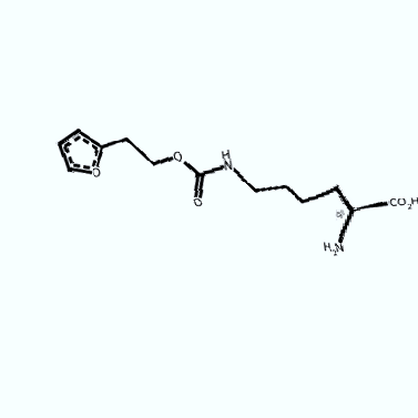 N[C@@H](CCCCNC(=O)OCCc1ccco1)C(=O)O